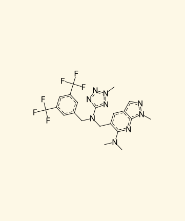 CN(C)c1nc2c(cnn2C)cc1CN(Cc1cc(C(F)(F)F)cc(C(F)(F)F)c1)c1nnn(C)n1